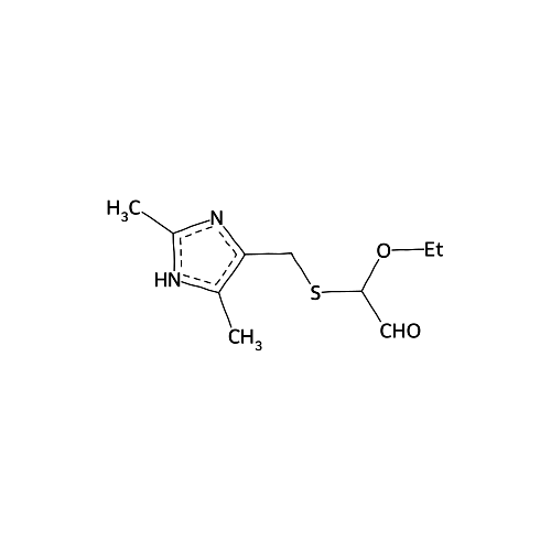 CCOC(C=O)SCc1nc(C)[nH]c1C